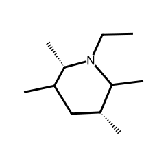 CCN1C(C)[C@H](C)CC(C)[C@@H]1C